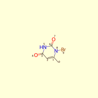 Cc1cc(=O)[nH]c(=O)n1Br